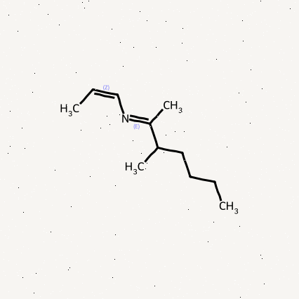 C/C=C\N=C(/C)C(C)CCCC